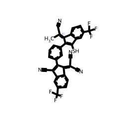 C/C(C#N)=C1\C(c2cccc(C3=C(C#N)c4cc(C(F)(F)F)ccc4C3=C(C#N)C#N)c2)=C(S)c2cc(C(F)(F)F)ccc21